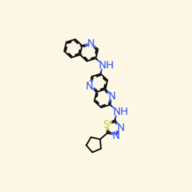 c1ccc2ncc(Nc3cnc4ccc(Nc5nnc(C6CCCC6)s5)nc4c3)cc2c1